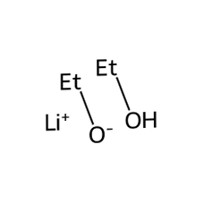 CCO.CC[O-].[Li+]